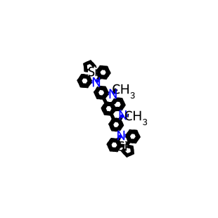 CN1c2cc(N3c4ccccc4[Si]4(CCCC4)c4ccccc43)ccc2-c2ccc3c4c(ccc1c24)N(C)c1cc(N2c4ccccc4[Si]4(CCCC4)c4ccccc42)ccc1-3